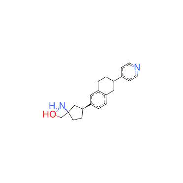 N[C@]1(CO)CC[C@H](c2ccc3c(c2)CCC(c2ccncc2)C3)C1